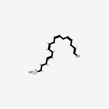 CC/C=C/C/C=C\C/C=C\C/C=C\C/C=C/CCCC(=O)O